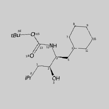 CC(C)C[C@H](O)[C@H](CC1CCCCC1)NC(=O)OC(C)(C)C